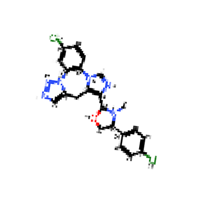 CN1C(c2ncn3c2Cc2cnnn2-c2cc(Cl)ccc2-3)OC[C@@H]1c1ccc(Cl)cc1